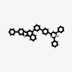 C1=C(c2ccccc2)NC(c2ccccc2)N=C1c1ccc(-c2cccc(-c3cc4c5ccc(-c6ccccc6)cc5oc4c4ccccc34)c2)cc1